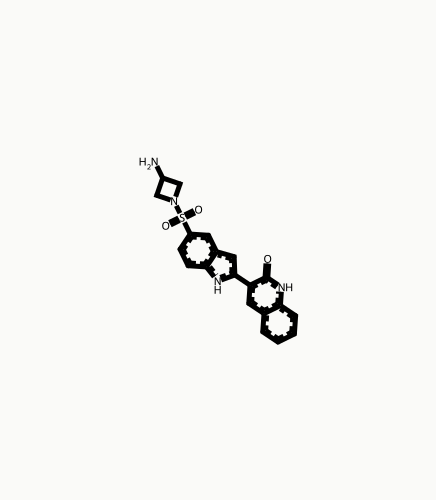 NC1CN(S(=O)(=O)c2ccc3[nH]c(-c4cc5ccccc5[nH]c4=O)cc3c2)C1